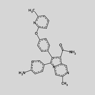 Cc1cn2c(-c3ccc(N)cc3)c(-c3ccc(Oc4cccc(C)n4)cc3)c(C(N)=O)c2cn1